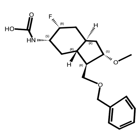 CO[C@H]1C[C@@H]2C[C@@H](F)[C@@H](NC(=O)O)C[C@H]2[C@@H]1COCc1ccccc1